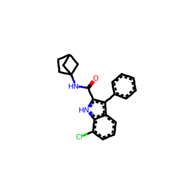 O=C(NC12CCC(C1)C2)c1[nH]c2c(Cl)cccc2c1-c1ccccc1